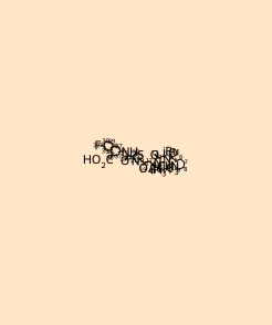 CC[C@H](C)C(NC(=O)C1CCCCN1C)C(=O)N(C)[C@H](C[C@@H](OC(C)=O)c1nc(C(=O)N[C@H]2Cc3ccc(F)cc3[C@H](C(=O)O)C2)cs1)C(C)C